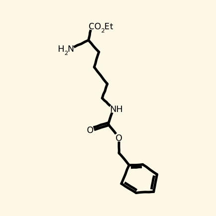 CCOC(=O)C(N)CCCCNC(=O)OCc1ccccc1